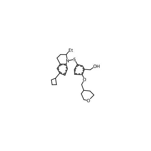 CCC1CCc2cc(C3CCC3)ccc2N1Sc1ccc(OCC2CCOCC2)c(CO)c1